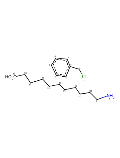 ClCc1ccccc1.NCCCCCCCCCCC(=O)O